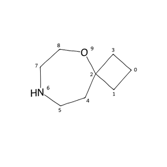 C1CC2(C1)CCNCCO2